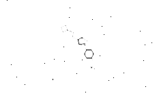 FC(F)(F)Oc1ccc(-n2cc(CNC3CCC3)cn2)cc1